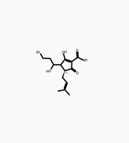 CC(C)=CC[C@@H]1C(=O)C(C(=O)C(C)C)=C(O)C1C(O)CCC(C)C